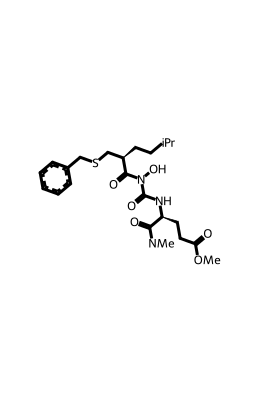 CNC(=O)[C@H](CCC(=O)OC)NC(=O)N(O)C(=O)[C@H](CCC(C)C)CSCc1ccccc1